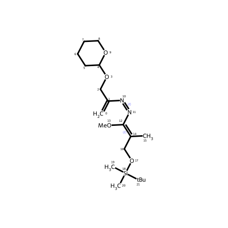 C=C(COC1CCCCO1)/N=N\C(OC)=C(/C)CO[Si](C)(C)C(C)(C)C